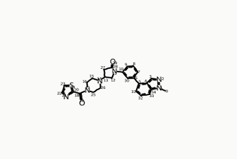 Cn1ncc2c(-c3cccc(N4CC(N5CCN(C(=O)c6nccs6)CC5)CC4=O)c3)cccc21